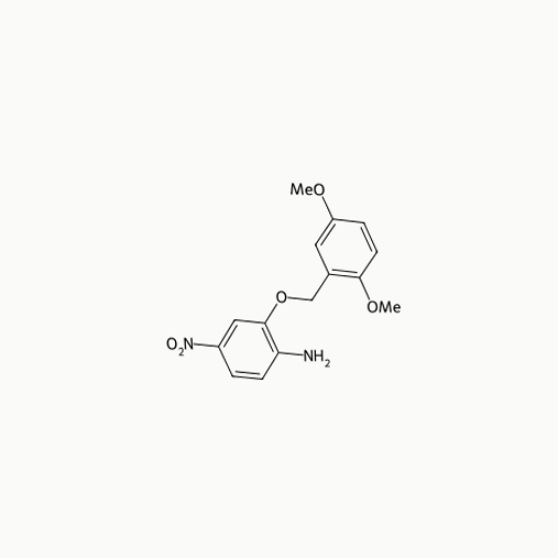 COc1ccc(OC)c(COc2cc([N+](=O)[O-])ccc2N)c1